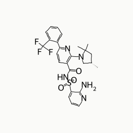 C[C@@H]1CN(c2nc(-c3ccccc3C(F)(F)F)ccc2C(=O)NS(=O)(=O)c2cccnc2N)C(C)(C)C1